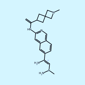 C=C(Nc1cc2cc(/C(N)=C/N(C)N)ccc2cn1)C1CC2(C1)CN(C)C2